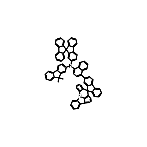 CC1(C)c2ccccc2-c2ccc(N(c3ccc4c(c3)C3(c5ccccc5-c5ccccc53)c3ccccc3-4)c3ccc(-c4ccc5c(c4)C4(c6ccccc6-5)c5ccccc5-n5c6ccccc6c6cccc4c65)c4ccccc34)cc21